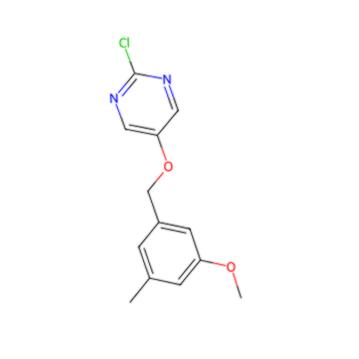 COc1cc(C)cc(COc2cnc(Cl)nc2)c1